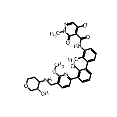 COc1nc(-c2cccc(-c3cccc(NC(=O)c4c(Cl)cnn(C)c4=O)c3C)c2Cl)ccc1CNC1CCOC[C@@H]1O